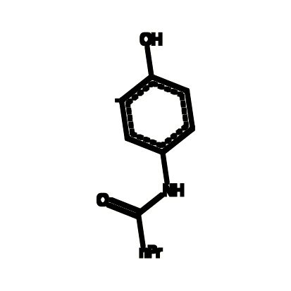 CCCC(=O)Nc1c[c]c(O)cc1